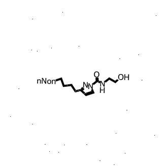 CCCCCCCCCCCCCc1ccn(C(=O)NCCO)n1